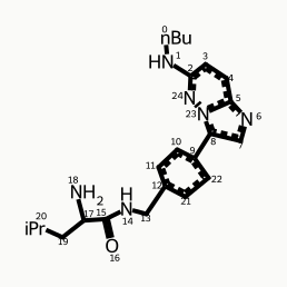 CCCCNc1ccc2ncc(-c3ccc(CNC(=O)C(N)CC(C)C)cc3)n2n1